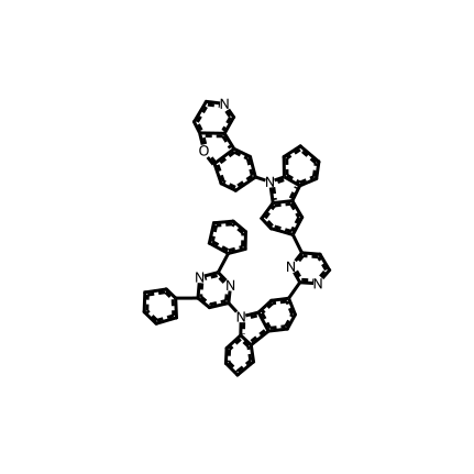 c1ccc(-c2cc(-n3c4ccccc4c4ccc(-c5nccc(-c6ccc7c(c6)c6ccccc6n7-c6ccc7oc8ccncc8c7c6)n5)cc43)nc(-c3ccccc3)n2)cc1